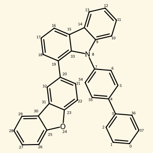 c1ccc(-c2ccc(-n3c4ccccc4c4cccc(-c5ccc6oc7ccccc7c6c5)c43)cc2)cc1